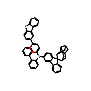 c1ccc(-c2ccccc2N(c2ccc(-c3ccc4sc5ccccc5c4c3)cc2)c2ccc3c(c2)-c2ccccc2C32C3CC4CC5CC2C4C5C3)cc1